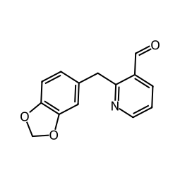 O=Cc1cccnc1Cc1ccc2c(c1)OCO2